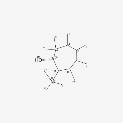 CC1C(C)C(C)C(C)(C)[C@@H](O)C([N+](C)(C)C)C1C